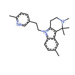 Cc1ccc2c(c1)c1c(n2CCc2ccc(C)nc2)CCN(C)C1(C)C